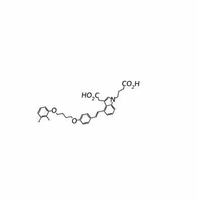 Cc1cccc(OCCCCOc2ccc(C=Cc3cccc4c3c(CC(=O)O)cn4CCCC(=O)O)cc2)c1C